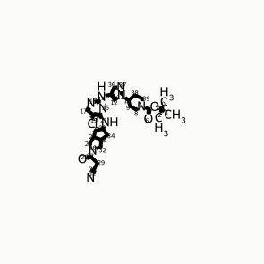 CC(C)(C)OC(=O)N1CCC(n2cc(Nc3ncc(Cl)c(NC4CC5CN(C(=O)CC#N)CC5C4)n3)cn2)CC1